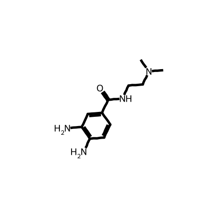 CN(C)CCNC(=O)c1ccc(N)c(N)c1